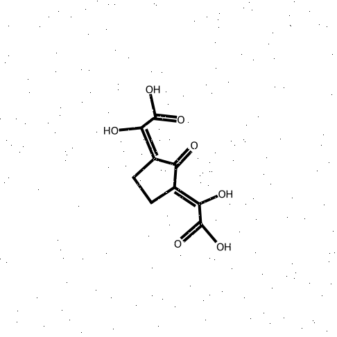 O=C(O)C(O)=C1CCC(=C(O)C(=O)O)C1=O